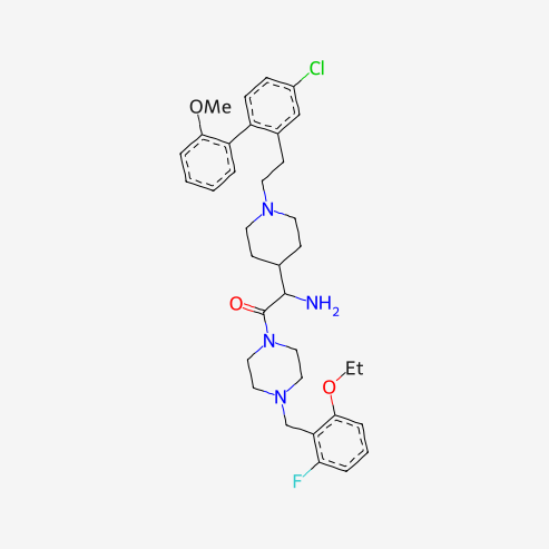 CCOc1cccc(F)c1CN1CCN(C(=O)C(N)C2CCN(CCc3cc(Cl)ccc3-c3ccccc3OC)CC2)CC1